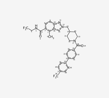 Cc1c(C(=O)NCC(F)(F)F)ccc2nn(CC3CCN(C(=O)c4ccc(-c5ccc(C(F)(F)F)cn5)cc4)CC3)cc12